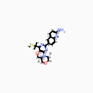 CSC(C)(C)c1nc(-c2ccc3nc(N)ccc3c2)nc2c1OC[C@]1(C)COC[C@@H](C)N21